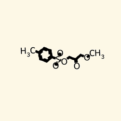 COCC(=O)COS(=O)(=O)c1ccc(C)cc1